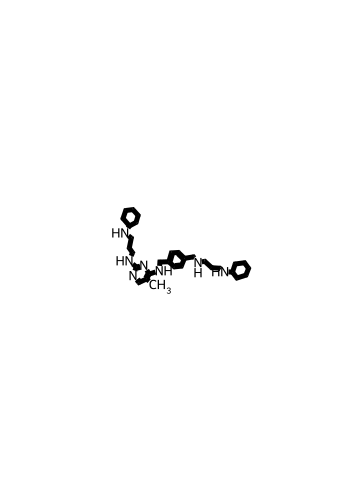 Cc1cnc(NCCCNC2CCCCC2)nc1NCc1ccc(CNCCCNC2CCCCC2)cc1